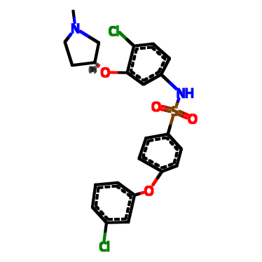 CN1CC[C@@H](Oc2cc(NS(=O)(=O)c3ccc(Oc4cccc(Cl)c4)cc3)ccc2Cl)C1